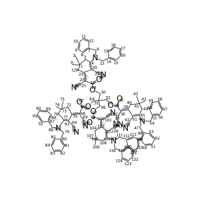 CC1(C)CC(N(Cc2ccccc2)Cc2ccccc2)=C(C#N)/C(=C(/C#N)C(=O)OCC(COC(=O)/C(C#N)=C2\CC(C)(C)CC(N(Cc3ccccc3)Cc3ccccc3)=C2C#N)(COC(=O)/C(C#N)=C2\CC(C)(C)CC(N(Cc3ccccc3)Cc3ccccc3)=C2C#N)COC(=O)/C(C#N)=C2\CC(C)(C)CC(N(Cc3ccccc3)Cc3ccccc3)=C2C#N)C1